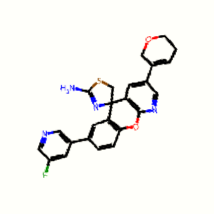 NC1=NC2(CS1)c1cc(-c3cncc(F)c3)ccc1Oc1ncc(C3=CCCOC3)cc12